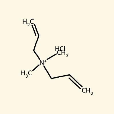 C=CC[N+](C)(C)CC=C.Cl